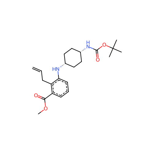 C=CCc1c(N[C@H]2CC[C@@H](NC(=O)OC(C)(C)C)CC2)cccc1C(=O)OC